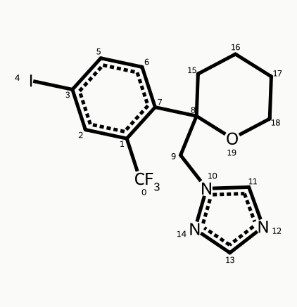 FC(F)(F)c1cc(I)ccc1C1(Cn2cncn2)CCCCO1